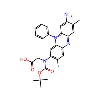 Cc1cc2nc3cc(C)c(N(CC(=O)O)C(=O)OC(C)(C)C)cc3[n+](-c3ccccc3)c2cc1N